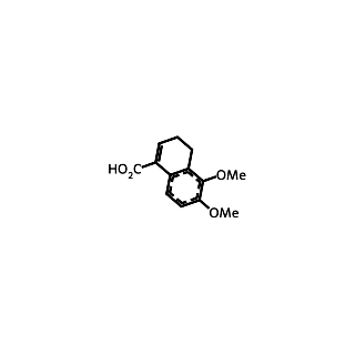 COc1ccc2c(c1OC)CCC=C2C(=O)O